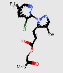 COC(=O)COC(=O)/C=C/c1c(C#N)cnn1-c1ncc(C(F)(F)F)cc1Cl